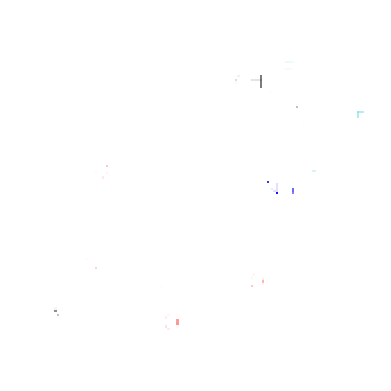 COC(=O)C1C(=O)CC(C)(C(F)(F)F)NC1=O